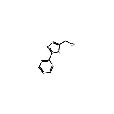 OCc1nnc(-c2ncccn2)s1